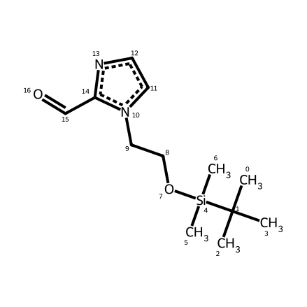 CC(C)(C)[Si](C)(C)OCCn1ccnc1C=O